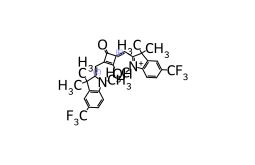 CN1/C(=C\C2=C(O)C(=C\C3=[N+](C)c4ccc(C(F)(F)F)cc4C3(C)C)/C2=O)C(C)(C)c2cc(C(F)(F)F)ccc21